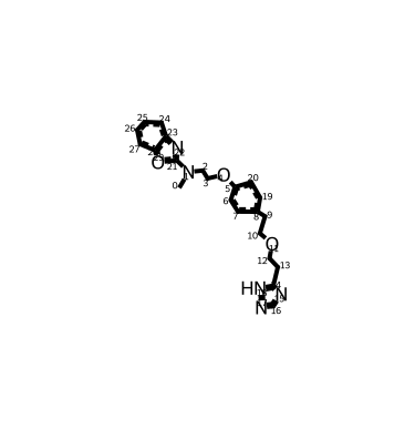 CN(CCOc1ccc(CCOCCc2ncn[nH]2)cc1)c1nc2ccccc2o1